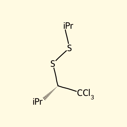 CC(C)SS[C@@H](C(C)C)C(Cl)(Cl)Cl